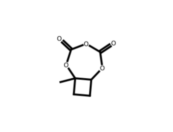 CC12CCC1OC(=O)OC(=O)O2